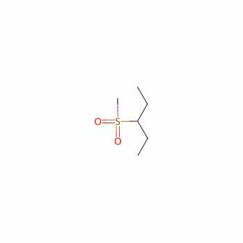 CCC(CC)S(=O)(=O)I